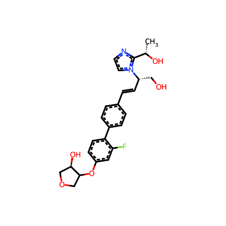 C[C@H](O)c1nccn1[C@@H](/C=C/c1ccc(-c2ccc(OC3COC[C@H]3O)cc2F)cc1)CO